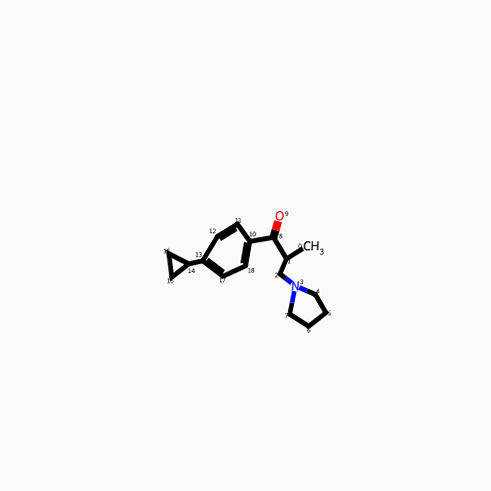 CC(CN1CCCC1)C(=O)c1ccc(C2CC2)cc1